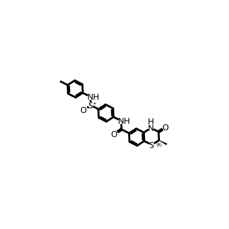 Cc1ccc(N[S+]([O-])c2ccc(NC(=O)c3ccc4c(c3)NC(=O)[C@@H](C)S4)cc2)cc1